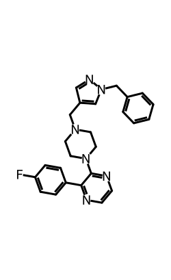 Fc1ccc(-c2nccnc2N2CCN(Cc3cnn(Cc4ccccc4)c3)CC2)cc1